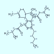 C=C(C)C1CCC(C)=CC1c1c(OC(=O)CC(C)O)cc(CCCCC)cc1OC(=O)CC(C)O